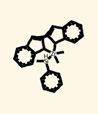 CC1=Cc2ccccc2[CH]1[Zr]([CH3])([CH3])([CH]1C(C)=Cc2ccccc21)[SiH](C)c1ccccc1